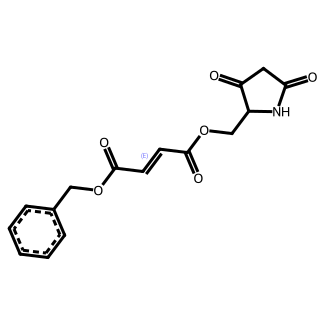 O=C1CC(=O)C(COC(=O)/C=C/C(=O)OCc2ccccc2)N1